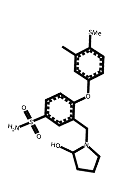 CSc1ccc(Oc2ccc(S(N)(=O)=O)cc2CN2CCCC2O)cc1C